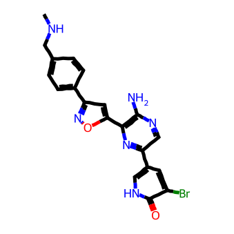 CNCc1ccc(-c2cc(-c3nc(-c4c[nH]c(=O)c(Br)c4)cnc3N)on2)cc1